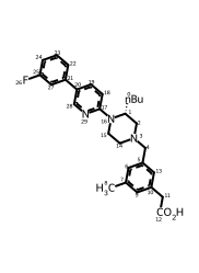 CCCC[C@@H]1CN(Cc2cc(C)cc(CC(=O)O)c2)CCN1c1ccc(-c2cccc(F)c2)cn1